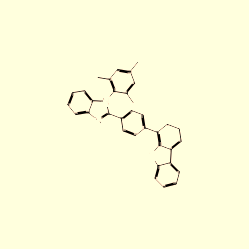 Cc1cc(C)c(-n2c(-c3ccc(C4=c5sc6ccccc6c5=CCC4)cc3)nc3ccccc32)c(C)c1